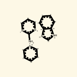 Nc1ncccn1.c1ccc2[nH]cnc2c1.c1ccncc1